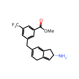 COC(=O)c1cc(CC2=CCC3=C[C@@H](N)CC3=C2)cc(C(F)(F)F)c1